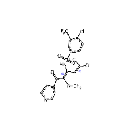 C=N/C(C(=O)c1ccncc1)=C(\C=C(/C)Cl)NS(=O)(=O)c1ccc(Cl)c(C(F)(F)F)c1